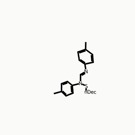 CCCCCCCCCCSN(/C=N/c1ccc(C)cc1)c1ccc(C)cc1